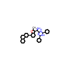 Cc1oc2c(-c3ccc4ccc5ccccc5c4c3)cccc2c1C(=N)C1=NC(c2ccccc2)NC(c2ccccc2)N1